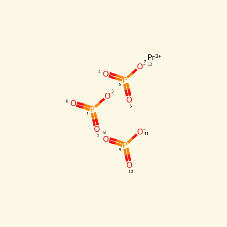 O=P(=O)[O-].O=P(=O)[O-].O=P(=O)[O-].[Pr+3]